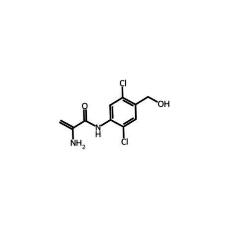 C=C(N)C(=O)Nc1cc(Cl)c(CO)cc1Cl